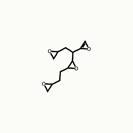 C1=C(C(CC2CO2)C2OC2CCC2CO2)O1